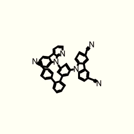 N#Cc1ccc(-c2ccccc2-c2cc(-n3c4ccc(C#N)cc4c4cc(C#N)ccc43)cc(-n3c4ccccc4c4cccnc43)c2)cc1